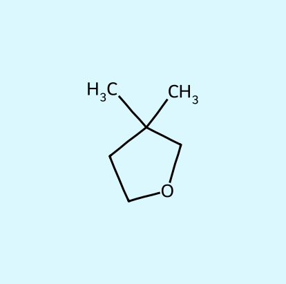 CC1(C)CCOC1